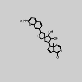 CC12N=CN=C(Cl)C1C=CN2C1CC2(COC(c3ccc4ccc(N)nc4c3)C2)C(O)C1O